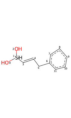 O[SiH](O)C=CCc1ccccc1